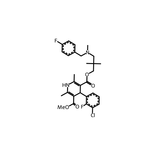 COC(=O)C1=C(C)NC(C)=C(C(=O)OCC(C)(C)CN(C)Cc2ccc(F)cc2)C1c1cccc(Cl)c1F